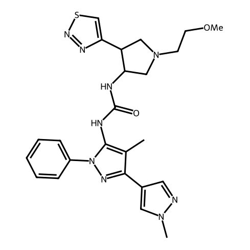 COCCN1CC(NC(=O)Nc2c(C)c(-c3cnn(C)c3)nn2-c2ccccc2)C(c2csnn2)C1